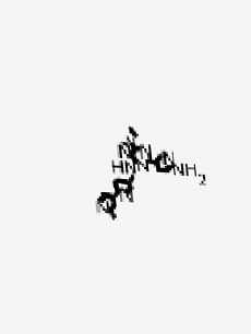 CCn1cnc2c(NCc3ccc(-c4ccnc(C)c4)nc3)nc(-c3ccc(N)nc3)nc21